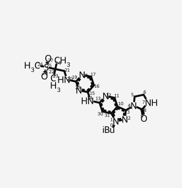 CCC(C)n1nc(N2CCNC2=O)c2cnc(Nc3ccnc(NCC(C)(C)S(C)(=O)=O)n3)cc21